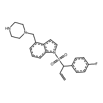 C=CC(c1ccc(F)cc1)S(=O)(=O)n1ccc2c(CN3CCNCC3)cccc21